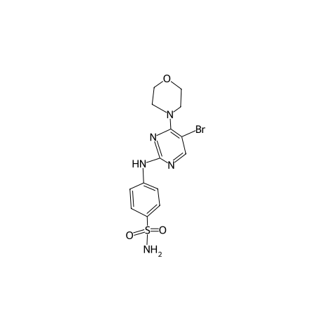 NS(=O)(=O)c1ccc(Nc2ncc(Br)c(N3CCOCC3)n2)cc1